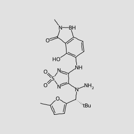 Cc1ccc([C@H](N(N)C2=NS(=O)(=O)N=C2Nc2ccc3c(c2O)C(=O)N(C)B3)C(C)(C)C)o1